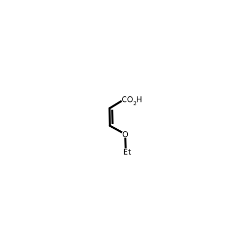 CCO/C=C\C(=O)O